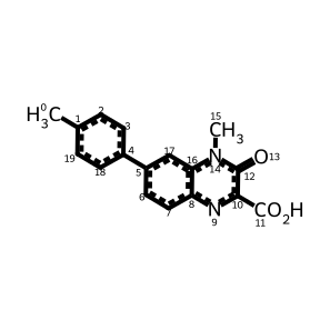 Cc1ccc(-c2ccc3nc(C(=O)O)c(=O)n(C)c3c2)cc1